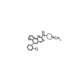 CN1CCC(Nc2ncc3cc(-c4ccccc4Cl)c4nccn4c3n2)CC1